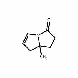 CC12CC=CN1C(=O)CC2